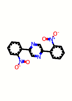 O=[N+]([O-])c1ccccc1-c1cnc(-c2ccccc2[N+](=O)[O-])cn1